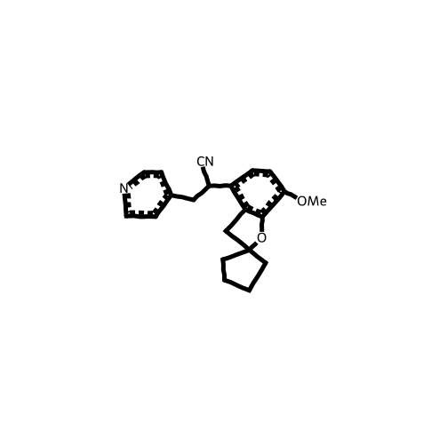 COc1ccc(C(C#N)Cc2ccncc2)c2c1OC1(CCCC1)C2